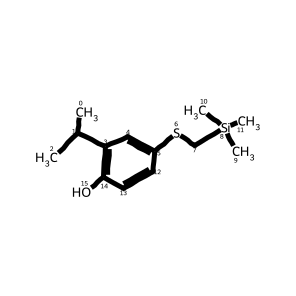 CC(C)c1cc(SC[Si](C)(C)C)ccc1O